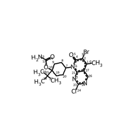 Cc1c(Br)c(=O)n(C2CCC(OC(N)=O)(C(C)(C)C)CC2)c2nc(Cl)ncc12